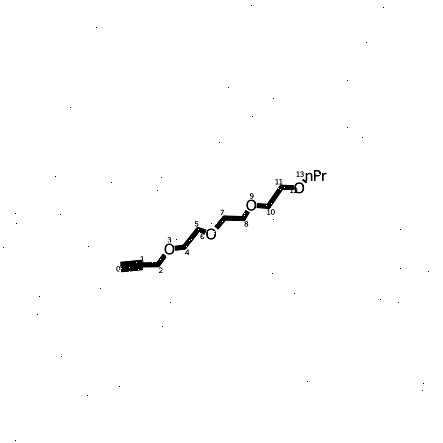 C#CCOCCOCCOCCOCCC